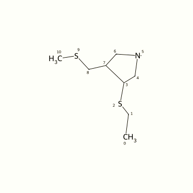 CCSC1C[N]CC1CSC